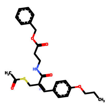 CCCOc1ccc(/C=C(/CSC(C)=O)C(=O)NCCC(=O)OCc2ccccc2)cc1